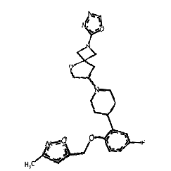 Cc1cc(COc2ccc(F)cc2C2CCN(C3COC4(C3)CN(c3nnco3)C4)CC2)on1